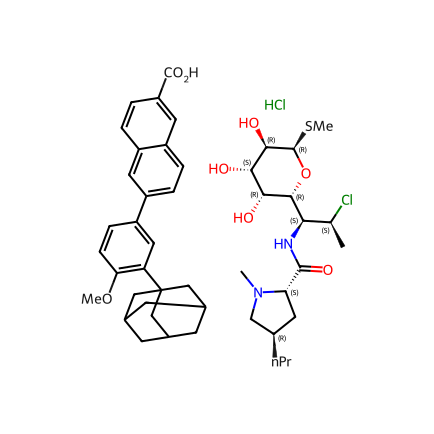 CCC[C@@H]1C[C@@H](C(=O)N[C@@H]([C@H]2O[C@H](SC)[C@H](O)[C@@H](O)[C@H]2O)[C@H](C)Cl)N(C)C1.COc1ccc(-c2ccc3cc(C(=O)O)ccc3c2)cc1C12CC3CC(CC(C3)C1)C2.Cl